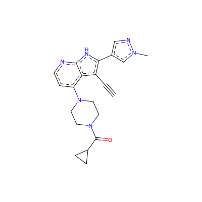 C#Cc1c(-c2cnn(C)c2)[nH]c2nccc(N3CCN(C(=O)C4CC4)CC3)c12